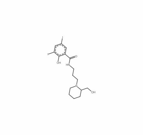 O=C(NCCCN1CCCCC1CO)c1cc(I)cc(I)c1O